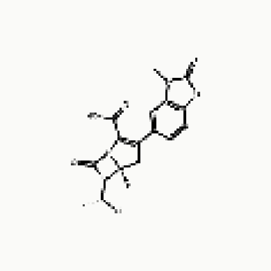 C[C@@H](O)[C@H]1C(=O)N2C(C(=O)O)=C(c3ccc4oc(=O)n(C)c4c3)C[C@H]12